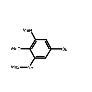 CNc1cc(C(C)(C)C)cc(NSC)c1OC